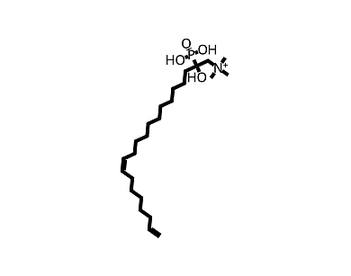 C=CCCCCC/C=C\CCCCCCCCCCC(O)(C[N+](C)(C)C)P(=O)(O)O